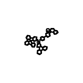 c1ccc2c(c1)-c1ccccc1C21c2ccccc2-c2ccc(N(c3ccc(-c4ccc5c(c4)oc4ccc6ccccc6c45)cc3)c3ccc4c5ccccc5c5ccccc5c4c3)cc21